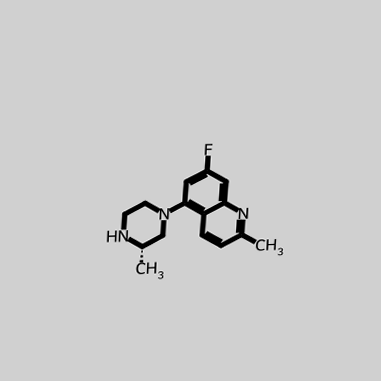 Cc1ccc2c(N3CCN[C@@H](C)C3)cc(F)cc2n1